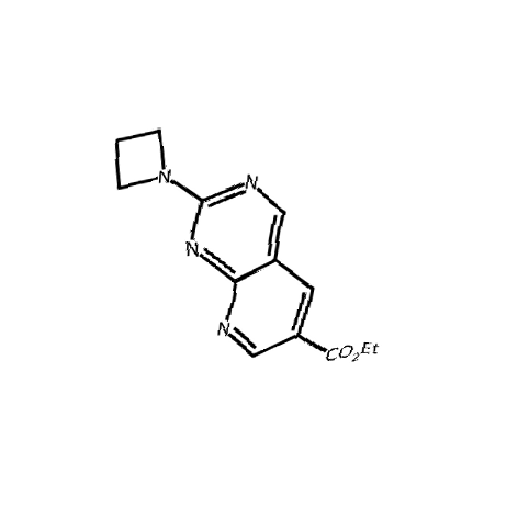 CCOC(=O)c1cnc2nc(N3CCC3)ncc2c1